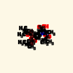 CCC(C)C(=O)O[C@@H](C)CC(N)(Cc1ccc(OC(=O)OC(C)(C)CC)c(OC(=O)OC(C)(C)CC)c1)C(=O)O